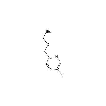 Cc1ccc(COCC(C)(C)C)nc1